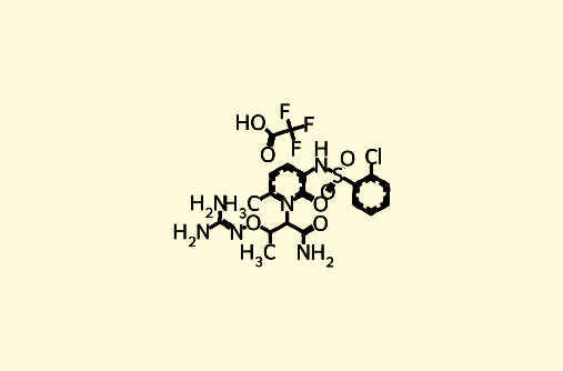 Cc1ccc(NS(=O)(=O)c2ccccc2Cl)c(=O)n1C(C(N)=O)C(C)ON=C(N)N.O=C(O)C(F)(F)F